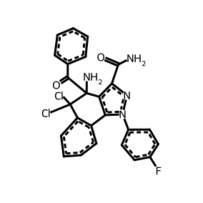 NC(=O)c1nn(-c2ccc(F)cc2)c2c1C(N)(C(=O)c1ccccc1)C(Cl)(Cl)c1ccccc1-2